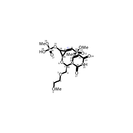 COCCOC[C@@H](O[C@@H]1/C(=C\P(=O)(OC)OC)C1OP(=O)(O)OC)n1ccc(=O)[nH]c1=O